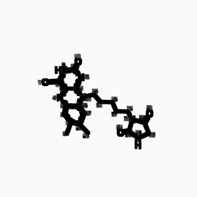 Cc1cc2nc3c(=O)[nH]c(=O)nc-3n(CCCCCN3C(=O)CNC3=O)c2cc1C